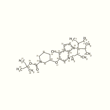 CC(C)S(C(C)C)(C(C)C)n1ccc2c(Cl)c(OC3CCCN(C(=O)OC(C)(C)C)C3)cnc21